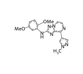 COc1ccc(OC)c(Nc2nc3c(-c4cnn(C)c4)nccn3n2)c1